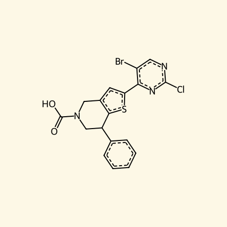 O=C(O)N1Cc2cc(-c3nc(Cl)ncc3Br)sc2C(c2ccccc2)C1